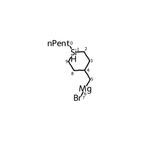 CCCCC[SiH]1CCC([CH2][Mg][Br])CC1